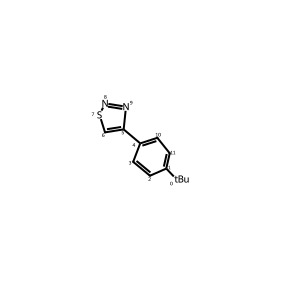 CC(C)(C)c1ccc(-c2csnn2)cc1